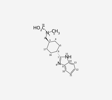 CN(C[C@H]1CC[C@H](c2nc3ccccc3[nH]2)CC1)C(=O)O